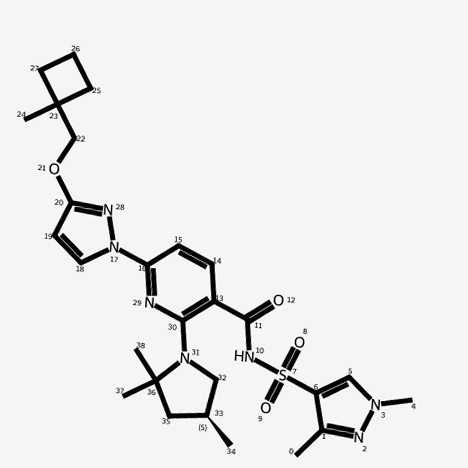 Cc1nn(C)cc1S(=O)(=O)NC(=O)c1ccc(-n2ccc(OCC3(C)CCC3)n2)nc1N1C[C@@H](C)CC1(C)C